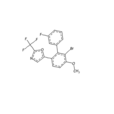 COc1ccc(-c2cnc(C(F)(F)F)o2)c(-c2cccc(F)c2)c1Br